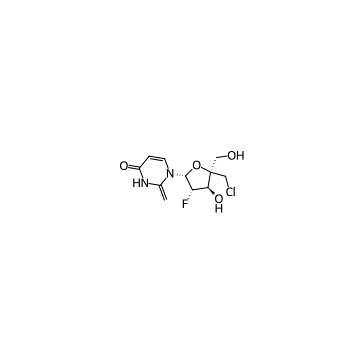 C=C1NC(=O)C=CN1[C@@H]1O[C@@](CO)(CCl)[C@@H](O)[C@@H]1F